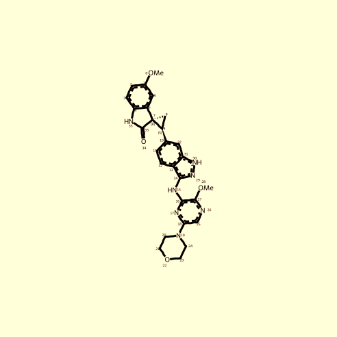 COc1ccc2c(c1)[C@]1(C[C@H]1c1ccc3c(Nc4nc(N5CCOCC5)cnc4OC)n[nH]c3c1)C(=O)N2